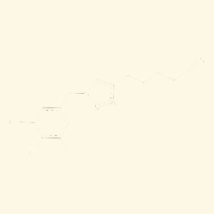 N#CCCCCc1cn(Cc2cc(O)c(O)c(O)c2)nn1